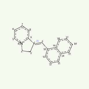 C(=C1/CC[n+]2ccccc21)/c1cccc2ccccc12